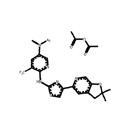 CC(=O)N(C)c1cnc(Nc2nc(-c3cc4c(cn3)OC(C)(C)C4)cs2)c(C(F)(F)F)c1.CC(=O)OC(C)=O